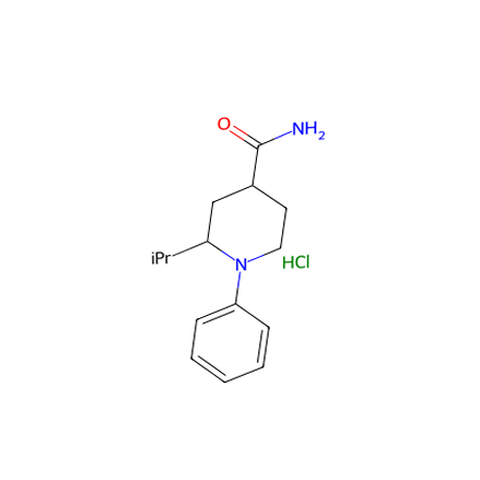 CC(C)C1CC(C(N)=O)CCN1c1ccccc1.Cl